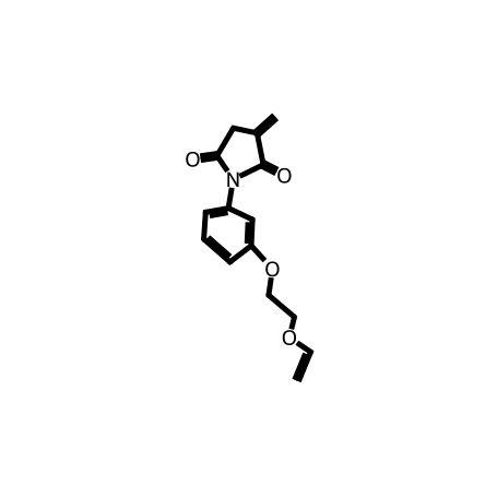 C=COCCOc1cccc(N2C(=O)CC(=C)C2=O)c1